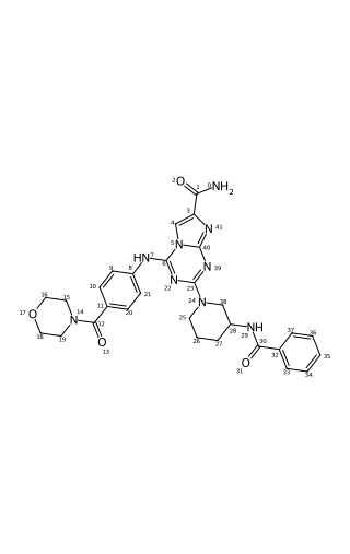 NC(=O)c1cn2c(Nc3ccc(C(=O)N4CCOCC4)cc3)nc(N3CCCC(NC(=O)c4ccccc4)C3)nc2n1